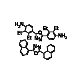 CCc1c(N)ccc(-c2nnc(-c3ccc(N)c(CC)c3CC)o2)c1CC.c1ccc2c(-c3nnc(-c4cccc5ccccc45)o3)cccc2c1